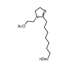 CCCCCCCCCCCCCCCCCC1=NCCN1CCOC(C)=O